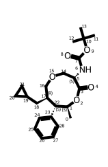 C[C@@H]1OC(=O)[C@@H](NC(=O)OC(C)(C)C)COC[C@H](CC2CC2)[C@H]1c1ccccc1